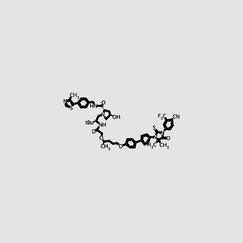 Cc1ncsc1-c1ccc(CNC(=O)[C@@H]2C[C@@H](O)CN2C[C@@H](NC(=O)CO[C@H](C)CCCOc2ccc(-c3ccc(N4C(=S)N(c5ccc(C#N)c(C(F)(F)F)c5)C(=O)C4(C)C)cc3)cc2)C(C)(C)C)cc1